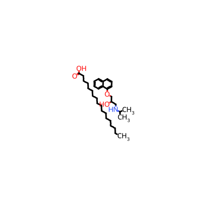 CC(C)NCC(O)COc1cccc2ccccc12.CCCCCCCCCCCCCCCCCC(=O)O